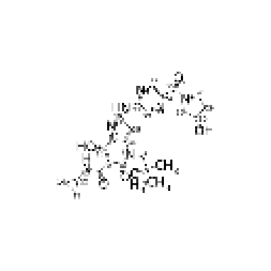 CC(C)(C)Cn1c(=O)c(C(=O)NC2CC2)c(O)n2nc(Nc3cnc(C(=O)N4CC[C@H](O)C4)cn3)cc12